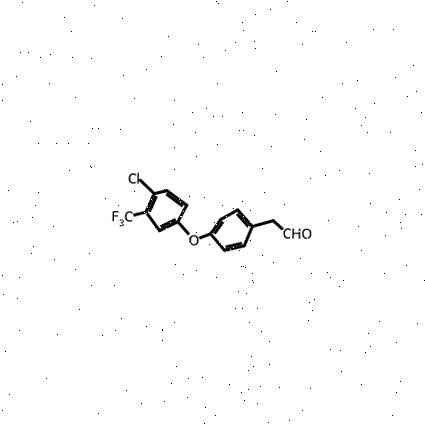 O=CCc1ccc(Oc2ccc(Cl)c(C(F)(F)F)c2)cc1